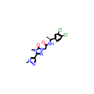 C[C@H](NC(=O)Cn1nc(-c2cnn(C)c2)n(C)c1=O)c1ccc(Cl)c(Cl)c1